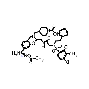 CC(=O)O/N=C(/N)c1ccc(CN(CC2CCN(C(=O)O)CC2)C(=O)CNC(=O)CN(CCc2ccccc2)S(=O)(=O)c2ccc(Cl)c(C)c2Cl)cc1